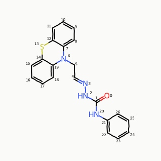 O=C(NN=CCN1c2ccccc2Sc2ccccc21)Nc1ccccc1